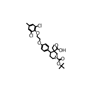 CCC1(C(=O)O)CN(C(=O)OC(C)(C)C)CCC1c1ccc(OCCOc2c(Cl)cc(C)cc2Cl)cc1